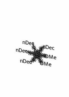 CCCCCCCCCCCCc1ccc(-c2cc3c4cc(-c5ccc(CCCCCCCCCCCC)cc5)cc5c6cc(-c7ccc(CCCCCCCCCCCC)cc7)cc7c8cc(-c9ccc(OC)cc9)cc9c%10cc(-c%11ccc(OC)cc%11)cc%11c%12cc(-c%13ccc(CCCCCCCCCCCC)cc%13)cc%13c(c2)c3c2c(c45)c(c67)c(c89)c(c%11%10)c2c%13%12)cc1